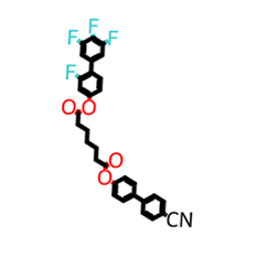 N#Cc1ccc(-c2ccc(OC(=O)CCCCCC(=O)Oc3ccc(-c4cc(F)c(F)c(F)c4)c(F)c3)cc2)cc1